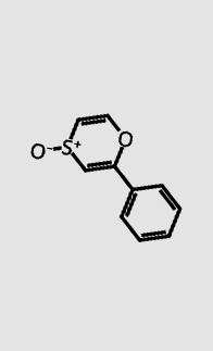 [O-][S+]1C=COC(c2ccccc2)=C1